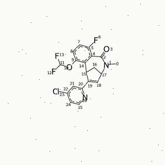 CN1C(=O)c2c(F)ccc(OC(F)F)c2C2CC1C=C2c1cc(Cl)ccn1